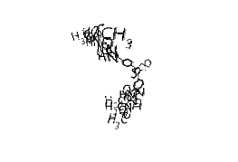 COC(=O)NC(C(=O)N1CCCC1c1ncc(-c2ccc(-c3sc(-c4ccc5nc(C6CCCN6C(=O)C(NC(=O)OC)C(C)C)[nH]c(=O)c5c4)c4c3CC3(CCCC3)C4)cc2)[nH]1)C(C)C